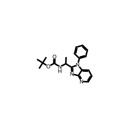 CC(NC(=O)OC(C)(C)C)c1nc2ncccc2n1-c1ccccc1